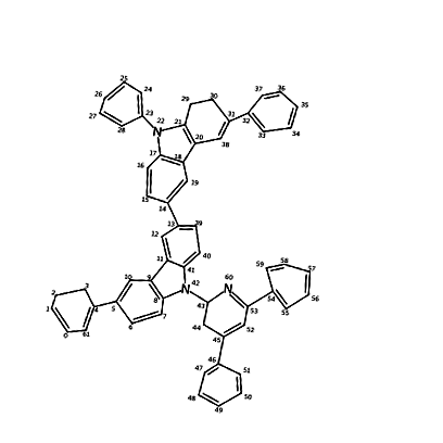 C1=CCCC(c2ccc3c(c2)c2cc(-c4ccc5c(c4)c4c(n5-c5ccccc5)CCC(c5ccccc5)=C4)ccc2n3C2CC(c3ccccc3)=CC(c3ccccc3)=N2)=C1